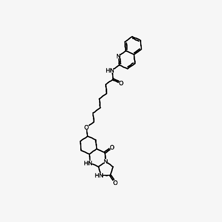 O=C(CCCCCCOC1CCC2NC3NC(=O)CN3C(=O)C2C1)Nc1ccc2ccccc2n1